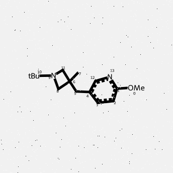 COc1ccc(CC2(C)CN(C(C)(C)C)C2)cn1